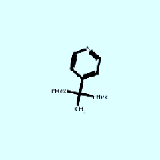 CCCCCCC(C)(CCCCCC)c1ccncc1